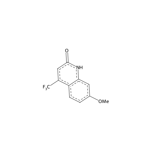 COc1ccc2c(C(F)(F)F)cc(=O)[nH]c2c1